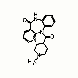 CN1CCC(C(=O)N2c3ccccc3NC(=O)c3cccnc32)CC1